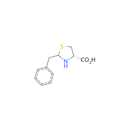 O=C(O)[C@H]1CSC(Cc2ccccc2)N1